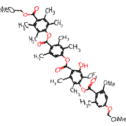 COCOC(=O)c1c(C)c(C)c(OC(=O)c2c(C)cc(OC(=O)c3c(C)c(C)c(OC(=O)c4c(C)cc(OCOC)cc4OC)c(C(F)(F)F)c3O)c(C)c2C)c(C)c1C